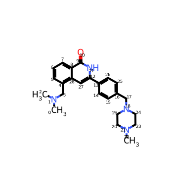 CN(C)Cc1cccc2c(=O)[nH]c(-c3ccc(CN4CCN(C)CC4)cc3)cc12